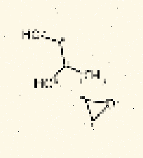 C1CO1.CC(O)CO